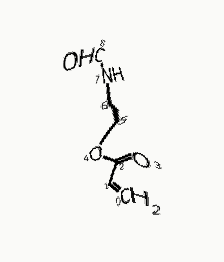 C=CC(=O)OCCNC=O